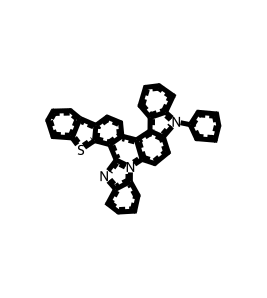 c1ccc(-n2c3ccccc3c3c4c5ccc6c7ccccc7sc6c5c5nc6ccccc6n5c4ccc32)cc1